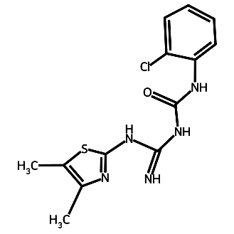 Cc1nc(NC(=N)NC(=O)Nc2ccccc2Cl)sc1C